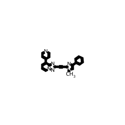 Cn1cc(-c2ccccc2)nc1C#Cc1nc2c(-c3ccncc3)cccn2n1